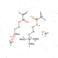 C=C(C)C(=O)OCCCCCCCCCCCC.C=C(C)C(=O)OCCC[Si](OC)(OC)OC.[Al+3].[Al+3].[O-2].[O-2].[O-2]